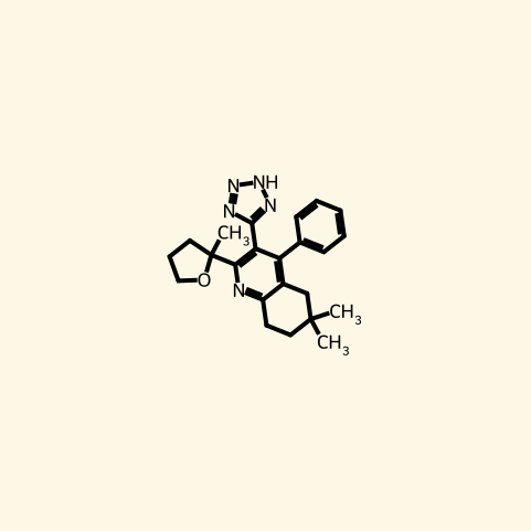 CC1(C)CCc2nc(C3(C)CCCO3)c(-c3nn[nH]n3)c(-c3ccccc3)c2C1